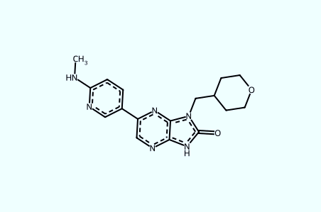 CNc1ccc(-c2cnc3[nH]c(=O)n(CC4CCOCC4)c3n2)cn1